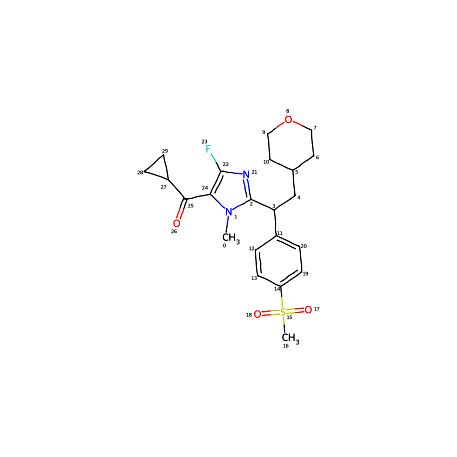 Cn1c(C(CC2CCOCC2)c2ccc(S(C)(=O)=O)cc2)nc(F)c1C(=O)C1CC1